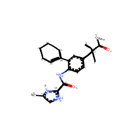 COC(=O)C(C)(C)c1ccc(NC(=O)c2nc(C#N)c[nH]2)c(C2=CCCCC2)c1